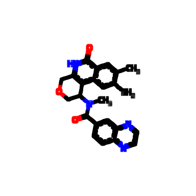 Bc1cc2c3c([nH]c(=O)c2cc1C)COCC3N(C)C(=O)c1ccc2nccnc2c1